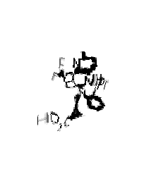 Cc1ccc(NC(=O)N(CC2CC2C(=O)O)c2ccccc2C(C)C)c(OC(F)F)n1